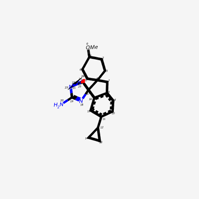 COC1CCC2(CC1)Cc1ccc(C3CC3)cc1C21N=C(N)N2CCCN=C21